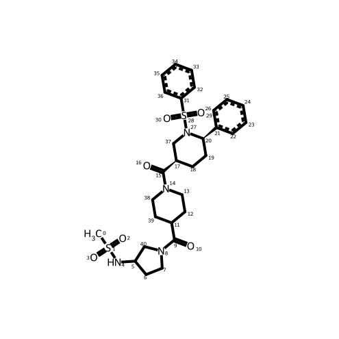 CS(=O)(=O)NC1CCN(C(=O)C2CCN(C(=O)[C@@H]3CC[C@H](c4ccccc4)N(S(=O)(=O)c4ccccc4)C3)CC2)C1